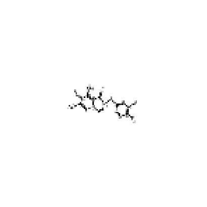 CC(=O)c1cn2ccn(Cc3ccc(F)c(I)c3)c(=O)c2c(O)c1=O